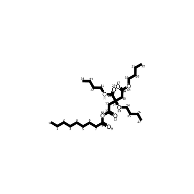 CCCCCCCCC(=O)OC(=O)CC(CC(=O)OCCCC)(OCCCC)C(=O)OCCCC